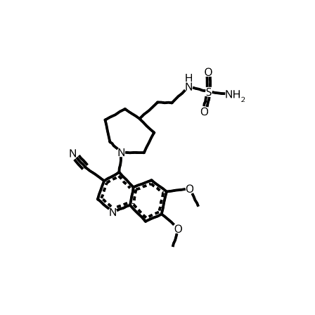 COc1cc2ncc(C#N)c(N3CCCC(CCNS(N)(=O)=O)CC3)c2cc1OC